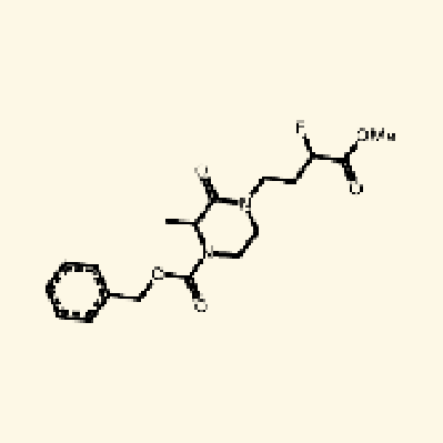 COC(=O)C(F)CCN1CCN(C(=O)OCc2ccccc2)C(C)C1=O